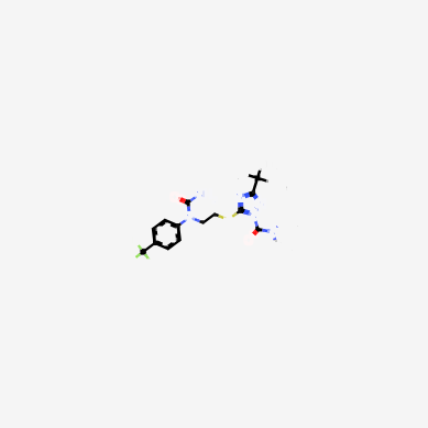 CN(C)C(=O)n1nc(C(C)(C)C)nc1SCCN(C(N)=O)c1ccc(C(F)(F)F)cc1